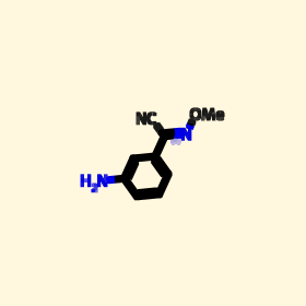 CO/N=C(\C#N)c1cccc(N)c1